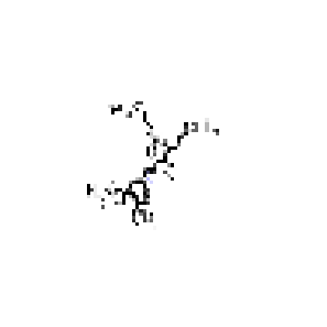 CCCCCC(=O)OC(/C=C/c1ccc(O)c(OC)c1)C(=O)CCCCC